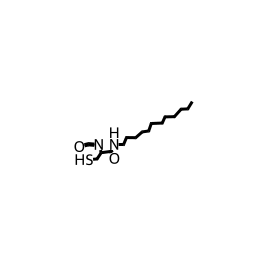 CCCCCCCCCCCCNC(=O)C(CS)N=C=O